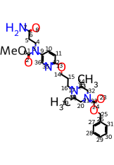 COC(=O)N(CCC(N)=O)c1ccc(OCCCN2[C@H](C)CN(C(=O)OCc3ccccc3)C[C@@H]2C)nc1